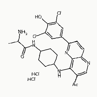 CC(=O)c1cnc2ccc(-c3cc(Cl)c(O)c(Cl)c3)nc2c1NC1CCC(NC(=O)C(C)N)CC1.Cl.Cl